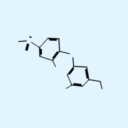 CCS(=O)(=O)c1ccc(Oc2cc(O)cc(CC(=O)O)c2)c(Cl)c1